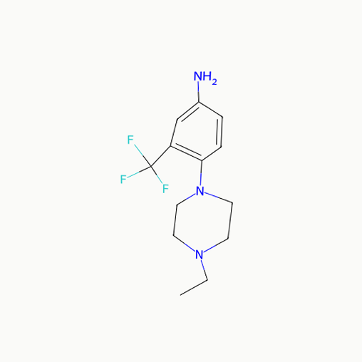 CCN1CCN(c2ccc(N)cc2C(F)(F)F)CC1